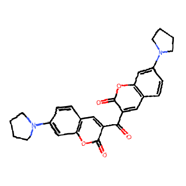 O=C(c1cc2ccc(N3CCCC3)cc2oc1=O)c1cc2ccc(N3CCCC3)cc2oc1=O